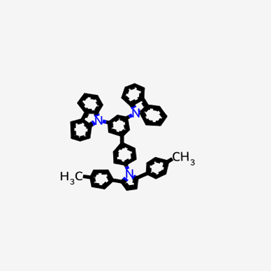 Cc1ccc(-c2ccc(-c3ccc(C)cc3)n2-c2ccc(-c3cc(-n4c5ccccc5c5ccccc54)cc(-n4c5ccccc5c5ccccc54)c3)cc2)cc1